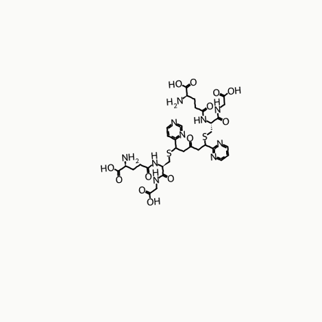 N[C@H](CCC(=O)N[C@@H](CSC(CC(=O)CC(SC[C@H](NC(=O)CC[C@H](N)C(=O)O)C(=O)NCC(=O)O)c1ccncn1)c1ncccn1)C(=O)NCC(=O)O)C(=O)O